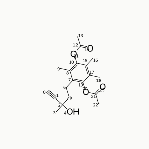 C#CC(C)(O)CCc1c(C)c(OC(C)=O)c(C)c(C)c1OC(C)=O